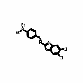 CCN(CC)c1ccc(N=Nc2nc3cc(Cl)c(Cl)cc3s2)cc1